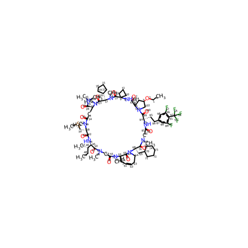 CCO[C@@H]1C[C@H]2C(=O)NC3(CCC3)C(=O)N(C)[C@@H](C3CCCC3)C(=O)N(C)[C@H](C(=O)N(C)C)CC(=O)N(C)[C@@H](CSC)C(=O)N[C@@H]([C@@H](C)CC)C(=O)N(C)CC(=O)N(C)[C@H]3C/C=C\CCN(C3=O)[C@@H](CC3CCCCC3)C(=O)N(C)CC(=O)N[C@@H](CCc3cc(F)c(C(F)(F)F)c(F)c3)C(=O)N2C1